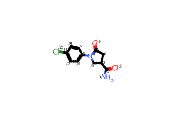 NC(=O)C1CC(=O)N(c2ccc(Cl)cc2)C1